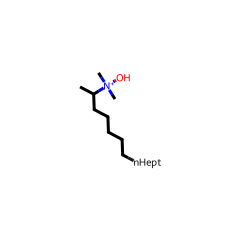 CCCCCCCCCCCCC(C)[N+](C)(C)O